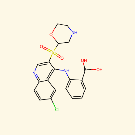 O=S(=O)(c1cnc2ccc(Cl)cc2c1Nc1ccccc1B(O)O)C1CNCCO1